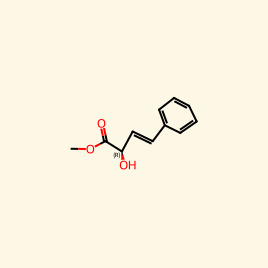 COC(=O)[C@H](O)C=Cc1ccccc1